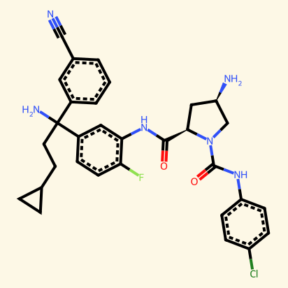 N#Cc1cccc(C(N)(CCC2CC2)c2ccc(F)c(NC(=O)[C@H]3C[C@@H](N)CN3C(=O)Nc3ccc(Cl)cc3)c2)c1